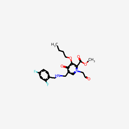 CCCCOc1c(C(=O)OC)n(CC=O)cc(CNCc2ccc(F)cc2F)c1=O